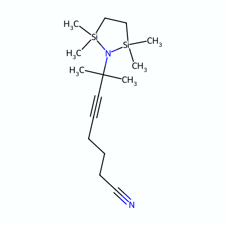 CC(C)(C#CCCCC#N)N1[Si](C)(C)CC[Si]1(C)C